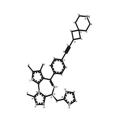 Cc1sc2c(c1C)C(c1ccc(C#CC3CC4(CCNCC4)C3)cc1)=N[C@@H](Cc1ncco1)c1nnc(C)n1-2